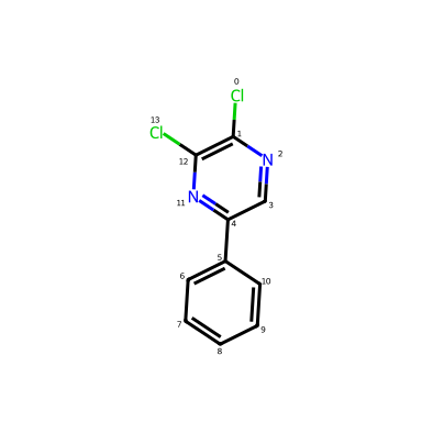 Clc1ncc(-c2ccccc2)nc1Cl